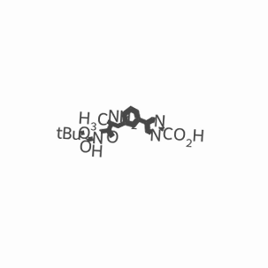 CC(C)(C)OC(=O)NCC(=O)C(C)(N)Cc1cccc(-c2cnc(C(=O)O)nc2)c1